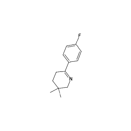 CC1(C)CCC(c2ccc(F)cc2)=NC1